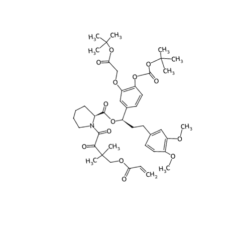 C=CC(=O)OCC(C)(C)C(=O)C(=O)N1CCCC[C@H]1C(=O)O[C@H](CCc1ccc(OC)c(OC)c1)c1ccc(OC(=O)OC(C)(C)C)c(OCC(=O)OC(C)(C)C)c1